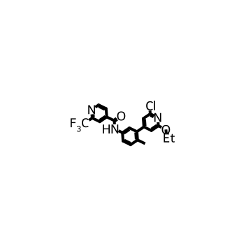 CCOc1cc(-c2cc(NC(=O)c3ccnc(C(F)(F)F)c3)ccc2C)cc(Cl)n1